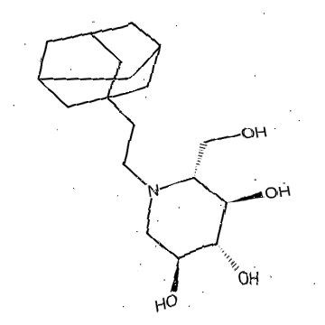 OC[C@@H]1[C@@H](O)[C@H](O)[C@@H](O)CN1CCC12CC3CC(CC(C3)C1)C2